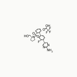 Nc1ncc(-c2ccc(-c3ccccc3S(=O)(=O)N3CCC[C@H]3CO)cc2F)cn1.O=C(O)C(F)(F)F